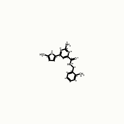 Cc1ccc(-c2cc(C(=O)NCc3ccccc3C)nc(N)n2)o1